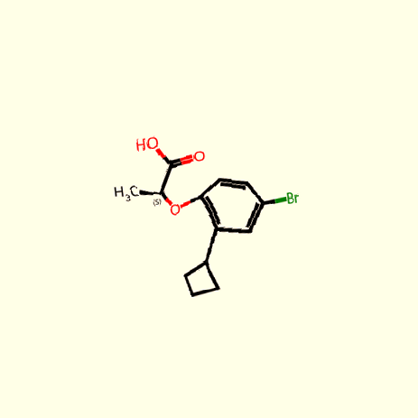 C[C@H](Oc1ccc(Br)cc1C1CCC1)C(=O)O